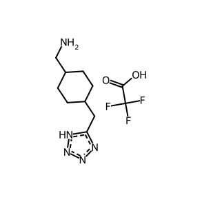 NCC1CCC(Cc2nnn[nH]2)CC1.O=C(O)C(F)(F)F